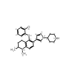 CC1CCc2c(ccc(-c3cnn(C4CCNCC4)c3)c2Oc2ccccc2Cl)N1C